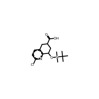 CC(C)(C)[Si](C)(C)OC1CC(C(=O)O)Cc2ccc(Cl)nc21